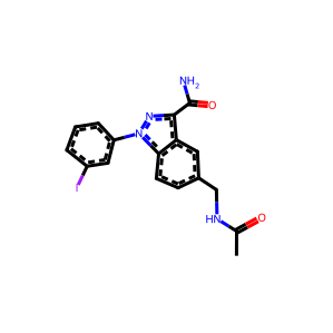 CC(=O)NCc1ccc2c(c1)c(C(N)=O)nn2-c1cccc(I)c1